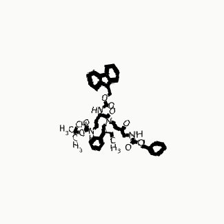 CC[C@H](CN(CCC(=O)CNC(=O)OCc1ccccc1)C(=O)C(CCNC(=O)OC(C)(C)C)NC(=O)OCC1c2ccccc2-c2ccccc21)c1ccccc1